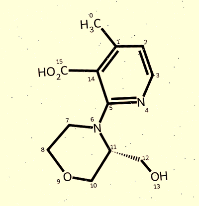 Cc1ccnc(N2CCOC[C@H]2CO)c1C(=O)O